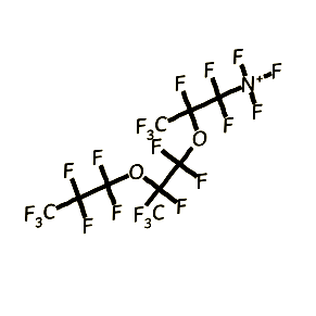 FC(F)(F)C(F)(F)C(F)(F)OC(F)(C(F)(F)F)C(F)(F)OC(F)(C(F)(F)F)C(F)(F)[N+](F)(F)F